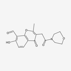 Cc1oc2c(C=O)c(O)ccc2c(=O)c1CC(=O)N1CCOCC1